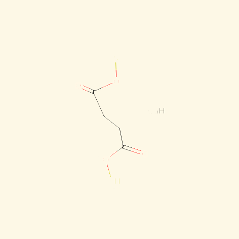 O=C(CCC(=O)OS)OS.[GaH3]